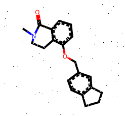 CN1CCc2c(OCc3ccc4c(c3)CCC4)cccc2C1=O